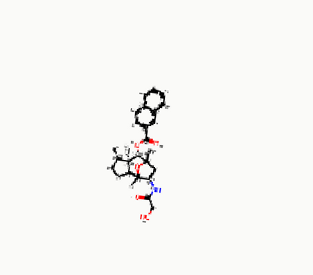 CC(C)C12C[C@@H](NC(=O)CO)C(C)(O1)C1CC[C@@H](C)[C@H]1[C@@H]2OC(=O)c1ccc2ccccc2c1